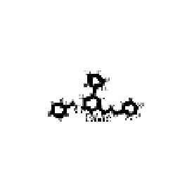 COc1c(OCc2ccccc2)[c]c(-c2ccccc2)cc1CCCc1ccccc1